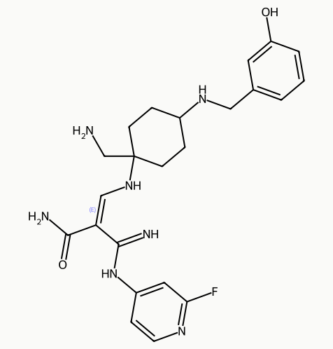 N=C(Nc1ccnc(F)c1)/C(=C\NC1(CN)CCC(NCc2cccc(O)c2)CC1)C(N)=O